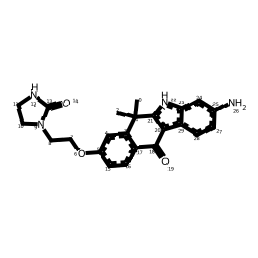 CC1(C)c2cc(OCCN3CCNC3=O)ccc2C(=O)c2c1[nH]c1cc(N)ccc21